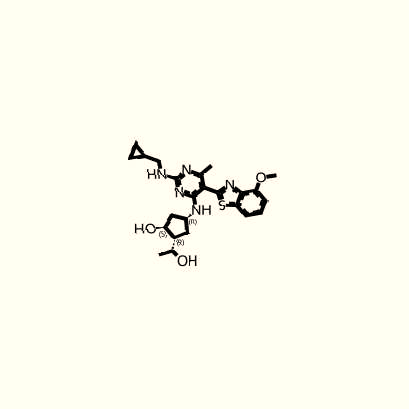 COc1cccc2sc(-c3c(C)nc(NCC4CC4)nc3N[C@@H]3C[C@H](C(C)O)[C@@H](O)C3)nc12